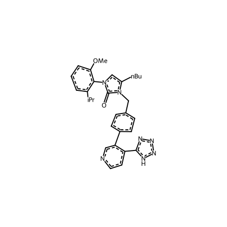 CCCCc1cn(-c2c(OC)cccc2C(C)C)c(=O)n1Cc1ccc(-c2cnccc2-c2nnn[nH]2)cc1